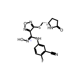 N#Cc1cc(N/C(=N/O)c2nonc2SC[C@@H]2CCC(=O)N2)ccc1F